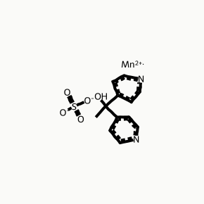 CC(O)(c1ccncc1)c1ccncc1.O=S(=O)([O-])[O-].[Mn+2]